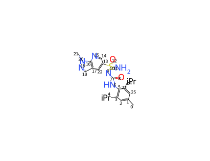 Cc1cc(C(C)C)c(NC(=O)N=S(N)(=O)c2cnc3c(cnn3C)c2)c(C(C)C)c1